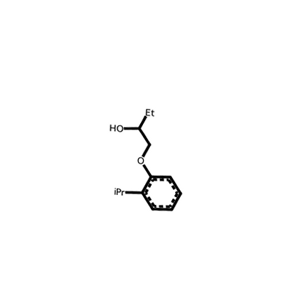 CCC(O)COc1ccccc1C(C)C